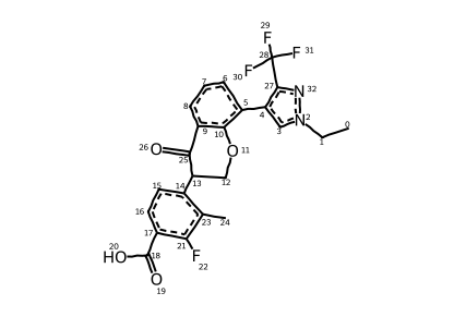 CCn1cc(-c2cccc3c2OCC(c2ccc(C(=O)O)c(F)c2C)C3=O)c(C(F)(F)F)n1